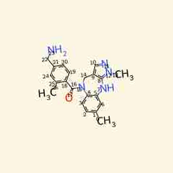 Cc1ccc2c(c1)Nc1c(cnn1C)CN2C(=O)c1ccc(CN)cc1C